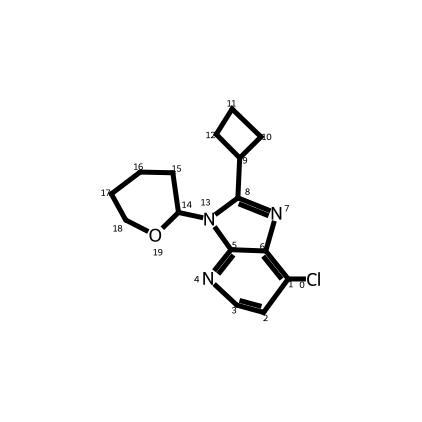 Clc1ccnc2c1nc(C1CCC1)n2C1CCCCO1